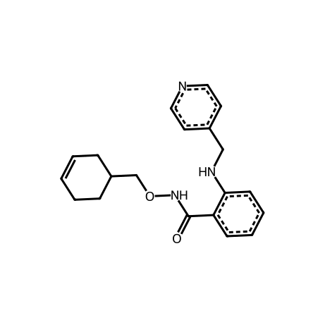 O=C(NOCC1CC=CCC1)c1ccccc1NCc1ccncc1